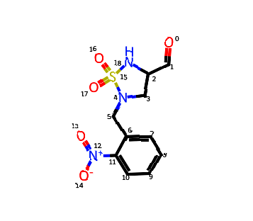 O=CC1CN(Cc2ccccc2[N+](=O)[O-])S(=O)(=O)N1